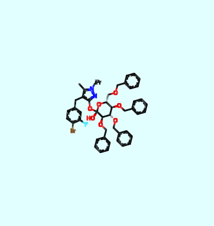 Cc1c(Cc2ccc(Br)c(F)c2)c(O[C@]2(O)O[C@H](COCc3ccccc3)[C@@H](OCc3ccccc3)[C@H](OCc3ccccc3)[C@H]2OCc2ccccc2)nn1C(C)C